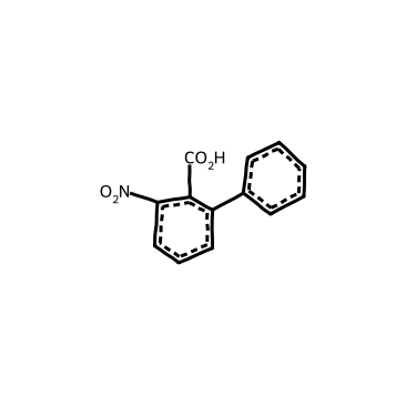 O=C(O)c1c(-c2ccccc2)cccc1[N+](=O)[O-]